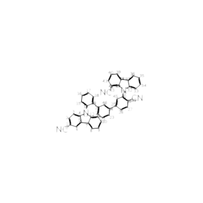 N#Cc1ccc2c(c1)c1ccccc1n2-c1ccccc1-c1cccc(-c2ccc(C#N)c(-n3c4ccccc4c4cccc(C#N)c43)c2)c1